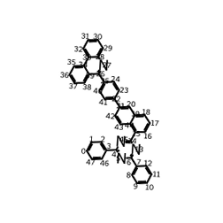 c1ccc(-c2nc(-c3ccccc3)nc(-c3cccc4cc(-c5ccc(-c6nc7ccccc7c7ccccc67)cc5)ccc34)n2)cc1